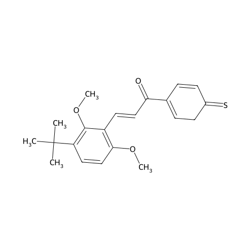 COc1ccc(C(C)(C)C)c(OC)c1C=CC(=O)C1=CCC(=S)C=C1